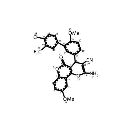 COc1ccc2oc(=O)c3c(c2c1)OC(N)=C(C#N)C3c1ccc(OC)c(-c2ccc(Cl)c(C(F)(F)F)c2)c1